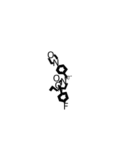 C=CC[C@]1(c2ccc(F)cc2)CCN([C@@H](C)c2ccc(N3CCOCC3)cc2)C(=O)O1